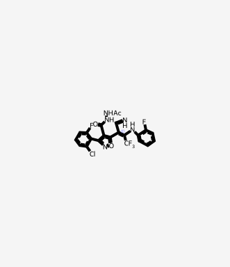 CC(=O)NNC(=O)c1c(-c2c(F)cccc2Cl)noc1/C(C=N)=C(/Nc1ccccc1F)C(F)(F)F